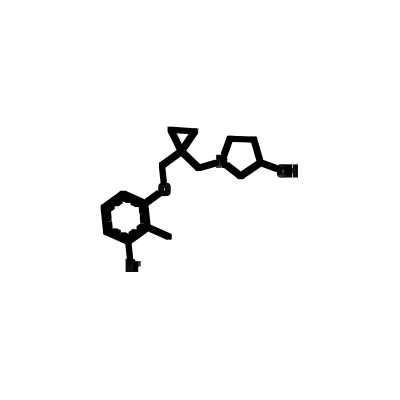 Cc1c(Br)cccc1OCC1(CN2CCC(O)C2)CC1